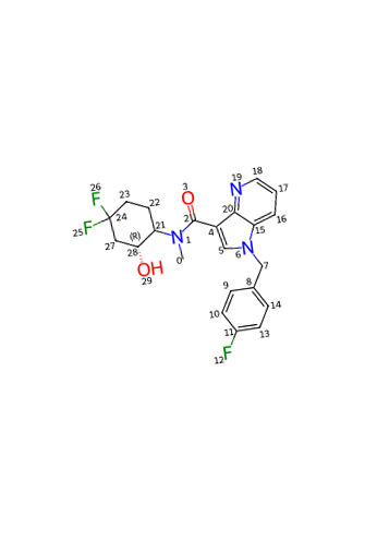 CN(C(=O)c1cn(Cc2ccc(F)cc2)c2cccnc12)C1CCC(F)(F)C[C@H]1O